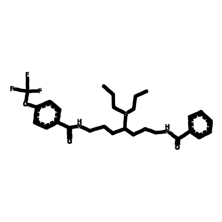 CCCN(CCC)C(CCCNC(=O)c1ccccc1)CCCNC(=O)c1ccc(OC(F)(F)F)cc1